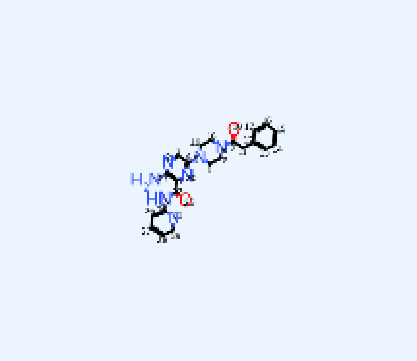 Nc1ncc(N2CCN(C(=O)Cc3ccccc3)CC2)nc1C(=O)Nc1ccccn1